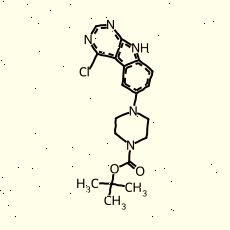 CC(C)(C)OC(=O)N1CCN(c2ccc3[nH]c4ncnc(Cl)c4c3c2)CC1